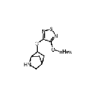 CCCCCCOc1nsnc1OC1CC2CNC1C2